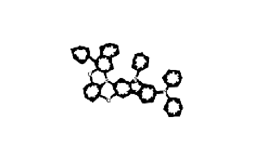 c1ccc(-c2c3c(cc4ccccc24)B2c4cc5c(cc4Oc4cccc(c42)O3)c2ccc(N(c3ccccc3)c3ccccc3)cc2n5-c2ccccc2)cc1